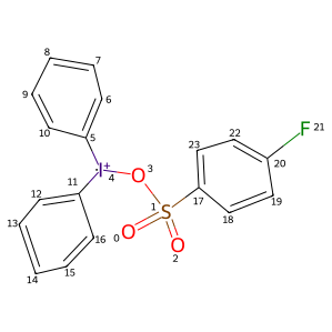 O=S(=O)(O[I+](c1ccccc1)c1ccccc1)c1ccc(F)cc1